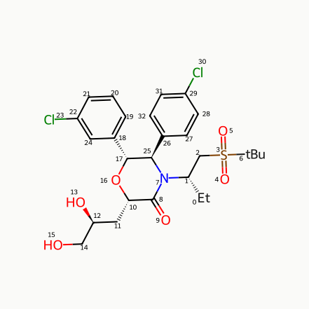 CC[C@@H](CS(=O)(=O)C(C)(C)C)N1C(=O)[C@H](C[C@H](O)CO)O[C@H](c2cccc(Cl)c2)[C@H]1c1ccc(Cl)cc1